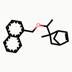 CC(OCc1cccc2ccccc12)C1(C)CC2C=CC1C2